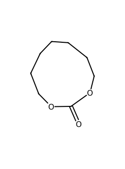 O=C1OCCCCCCCO1